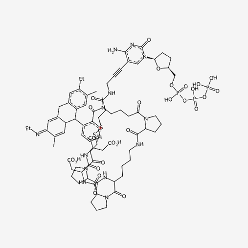 CC/N=C1\C=C2Cc3cc(CC)c(C)cc3C(c3ccccc3C(=O)N(C)CCCC(=O)N3CCCC3C(=O)NCCCCC(NC(=O)C3CCCN3C(=O)CCSSCCC(=O)NCC#Cc3cn([C@H]4CC[C@@H](COP(=O)(O)OP(=O)(O)OP(=O)(O)O)O4)c(=O)nc3N)C(=O)N3CCCC3C(=O)NC(CC(=O)O)C(=O)NC(CC(=O)O)C(=O)O)C2C=C1C